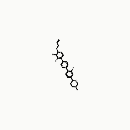 C=CCCc1ccc(-c2ccc(-c3ccc(C4CCC(C)CO4)cc3F)cc2)c(F)c1F